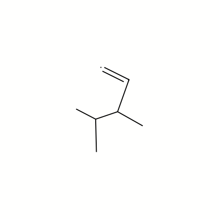 [CH]=CC(C)C(C)C